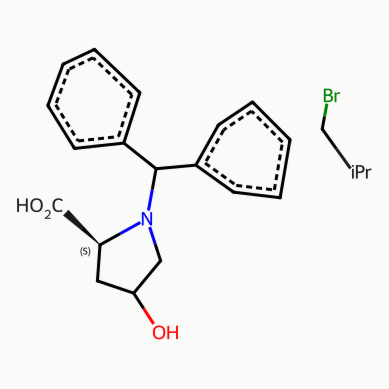 CC(C)CBr.O=C(O)[C@@H]1CC(O)CN1C(c1ccccc1)c1ccccc1